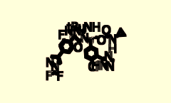 CC(C)(C)C[C@]1(c2ccc(-c3cnn(C(F)F)c3)cc2F)NC(=N)N([C@H](COC(=O)NC2CC2)c2ccc(Cl)c(-c3ncn[nH]3)c2)C1=O